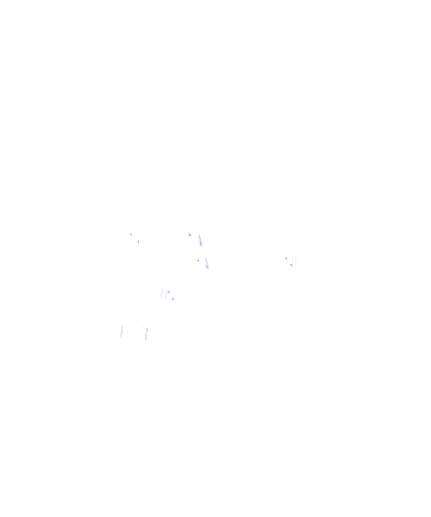 Cl.O=c1cc(C2CCNCC2)n2nc3cc(F)cnc3c2[nH]1